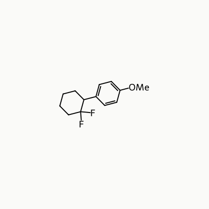 COc1ccc(C2CCCCC2(F)F)cc1